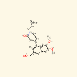 CCOc1cc2cc(CO)c(C)c(-c3ccn(CCOC)c(=O)c3)c2cc1OCC